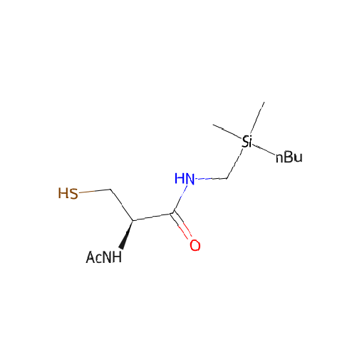 CCCC[Si](C)(C)CNC(=O)[C@H](CS)NC(C)=O